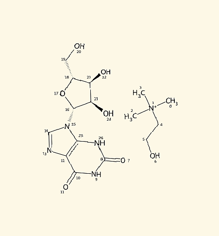 C[N+](C)(C)CCO.O=c1[nH]c(=O)c2ncn([C@@H]3O[C@H](CO)[C@@H](O)[C@H]3O)c2[nH]1